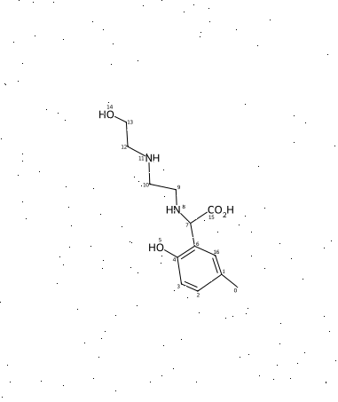 Cc1ccc(O)c(C(NCCNCCO)C(=O)O)c1